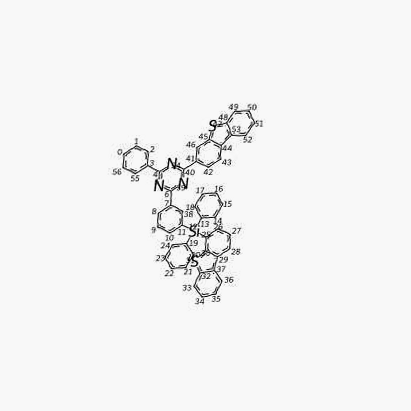 c1ccc(-c2nc(-c3cccc([Si](c4ccccc4)(c4ccccc4)c4cccc5c4sc4ccccc45)c3)nc(-c3ccc4c(c3)sc3ccccc34)n2)cc1